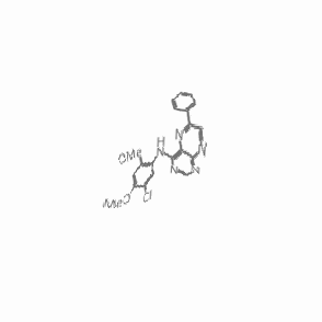 COc1cc(OC)c(Nc2ncnc3ncc(-c4ccccc4)nc23)cc1Cl